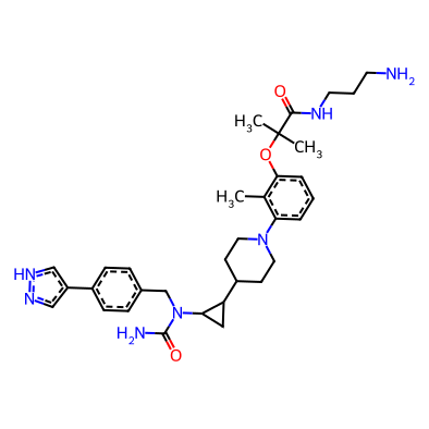 Cc1c(OC(C)(C)C(=O)NCCCN)cccc1N1CCC(C2CC2N(Cc2ccc(-c3cn[nH]c3)cc2)C(N)=O)CC1